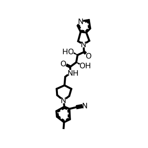 Cc1ccc(N2CCC(CNC(=O)[C@H](O)[C@@H](O)C(=O)N3Cc4ccncc4C3)CC2)c(C#N)c1